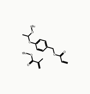 C=C(C)C(=O)OC(C)(C)C.C=CC(=O)OCc1ccc(OC(C)OCCCC)cc1